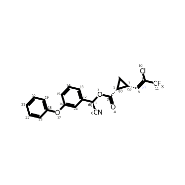 N#C[C@H](OC(=O)[C@@H]1C[C@@H]1/C=C(\Cl)C(F)(F)F)c1cccc(Oc2ccccc2)c1